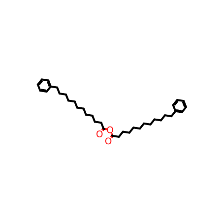 O=C(CCCCCCCCCCCc1ccccc1)OC(=O)CCCCCCCCCCCc1ccccc1